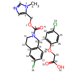 Cn1cncc1COC(=O)N1CCc2cc(F)ccc2[C@H]1c1cc(Cl)ccc1OCC(=O)O